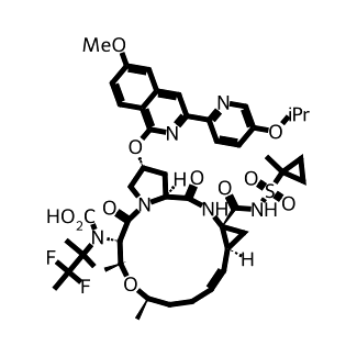 COc1ccc2c(O[C@@H]3C[C@H]4C(=O)N[C@]5(C(=O)NS(=O)(=O)C6(C)CC6)C[C@H]5/C=C\CC[C@@H](C)O[C@@H](C)[C@H](N(C(=O)O)C(C)(C)C(C)(F)F)C(=O)N4C3)nc(-c3ccc(OC(C)C)cn3)cc2c1